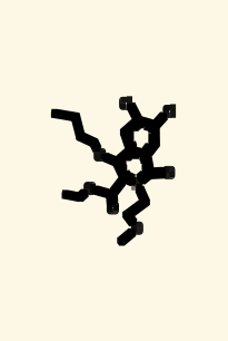 CCCCOc1c(C(=O)OCC)n(CCOC)c(=O)c2cc(Cl)c(Cl)cc12